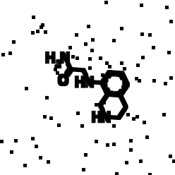 NC(=O)CNc1cccc2c1CNCC2